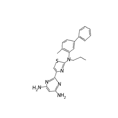 CCCN(c1nc(-c2nc(N)cc(N)n2)cs1)c1cc(-c2ccccc2)ccc1C